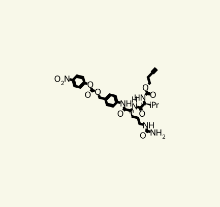 C#CCCOC(=O)N[C@H](C(=O)N[C@@H](CCCNC(N)=O)C(=O)Nc1ccc(COC(=O)Oc2ccc([N+](=O)[O-])cc2)cc1)C(C)C